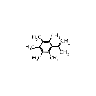 C=C(C)c1c(C)c(C)c(C)c(C)c1C